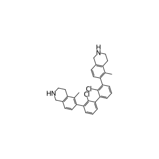 Cc1c(-c2cccc(-c3cccc(-c4ccc5c(c4C)CCNC5)c3Cl)c2Cl)ccc2c1CCNC2